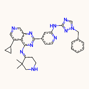 CC1(C)CNCC/C1=N\c1nc(-c2ccnc(Nc3ncn(Cc4ccccc4)n3)c2)nc2cncc(C3CC3)c12